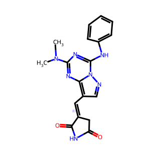 CN(C)c1nc(Nc2ccccc2)n2ncc(/C=C3\CC(=O)NC3=O)c2n1